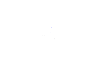 CC(C)[N+](Cl)(C(C)C)[N+](C)(C)[N+](C)(C)[N+](C)C